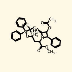 COC(=O)C(CCO[Si](c1ccccc1)(c1ccccc1)C(C)(C)C)N1C(=O)C(OC(C)=O)C1c1ccccc1